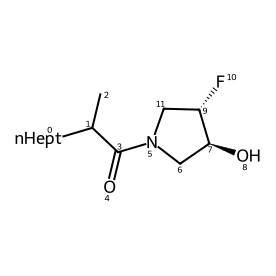 CCCCCCCC(C)C(=O)N1C[C@H](O)[C@@H](F)C1